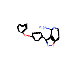 Nc1nccc2onc(-c3ccc(Oc4ccccc4)cc3)c12